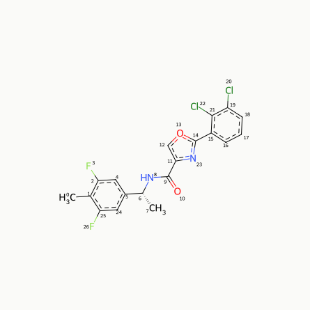 Cc1c(F)cc([C@@H](C)NC(=O)c2coc(-c3cccc(Cl)c3Cl)n2)cc1F